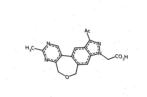 CC(=O)c1nn(CC(=O)O)c2cc3c(cc12)-c1cnc(C)nc1COC3